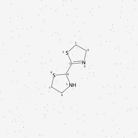 C1CSC(C2NCCS2)=N1